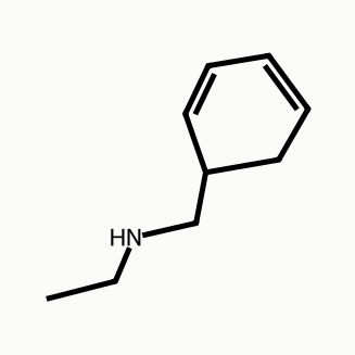 CCNCC1C=CC=CC1